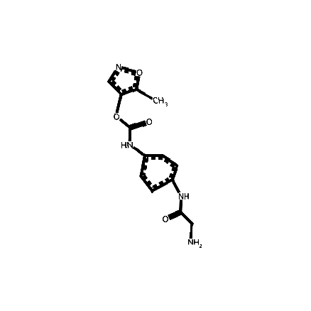 Cc1oncc1OC(=O)Nc1ccc(NC(=O)CN)cc1